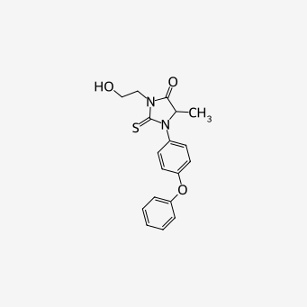 CC1C(=O)N(CCO)C(=S)N1c1ccc(Oc2ccccc2)cc1